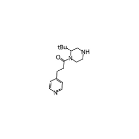 CC(C)(C)C1CNCCN1C(=O)CCc1ccncc1